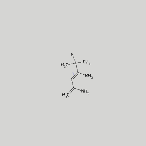 C=C(N)/C=C(\N)C(C)(C)F